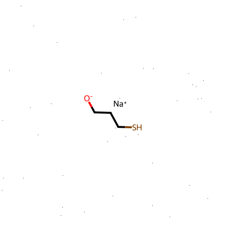 [Na+].[O-]CCCS